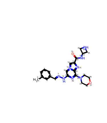 Cc1cccc(/C=N/Nc2cn3cc(C(=O)NC4CNC4)nc3c(N3CCOCC3)n2)c1